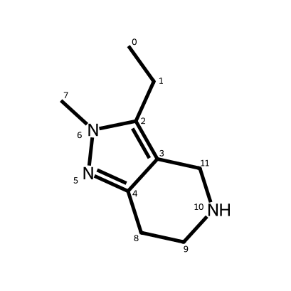 CCc1c2c(nn1C)CCNC2